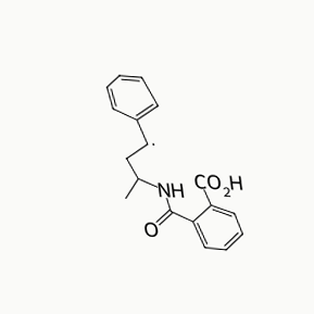 CC(C[CH]c1ccccc1)NC(=O)c1ccccc1C(=O)O